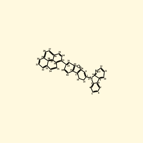 C1=C(n2c3ccccc3c3cccnc32)CCc2c1oc1cc(-c3ccc4ccc5cccc6ccc3c4c56)ccc21